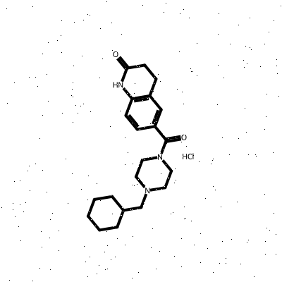 Cl.O=C1CCc2cc(C(=O)N3CCN(CC4CCCCC4)CC3)ccc2N1